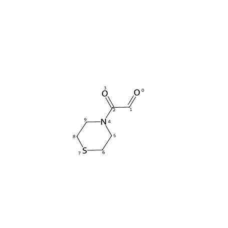 O=CC(=O)N1CCSCC1